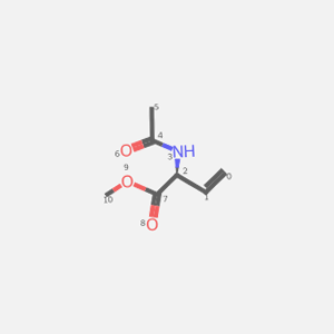 C=C[C@H](NC(C)=O)C(=O)OC